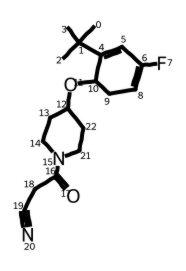 CC(C)(C)C1=CC(F)=CCC1OC1CCN(C(=O)CC#N)CC1